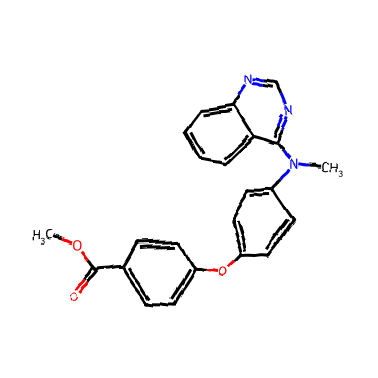 COC(=O)c1ccc(Oc2ccc(N(C)c3ncnc4ccccc34)cc2)cc1